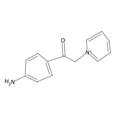 Nc1ccc(C(=O)C[n+]2ccccc2)cc1